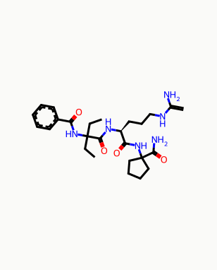 C=C(N)NCCC[C@H](NC(=O)C(CC)(CC)NC(=O)c1ccccc1)C(=O)NC1(C(N)=O)CCCC1